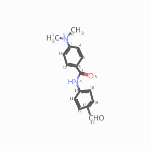 CN(C)c1ccc(C(=O)Nc2ccc(C=O)cc2)cc1